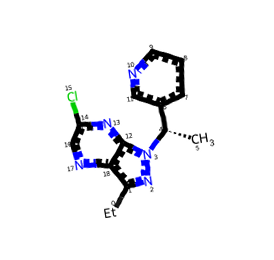 CCc1nn([C@@H](C)c2cccnc2)c2nc(Cl)cnc12